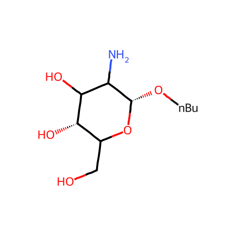 CCCCO[C@@H]1OC(CO)[C@H](O)C(O)C1N